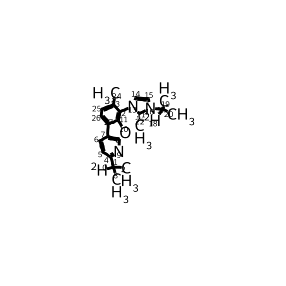 [2H]C(C)(C)c1ccc2c(n1)oc1c(N3C=CN(C([2H])(C)C)[C@@H]3C)c(C)ccc12